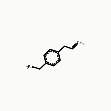 C=CCc1ccc(CC(C)(C)C)cc1